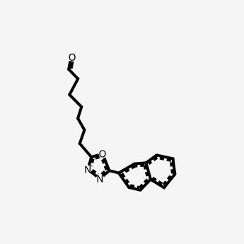 O=CCCCCCCc1nnc(-c2ccc3ccccc3c2)o1